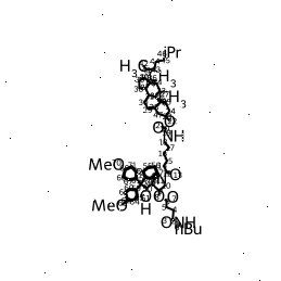 CCCCNC(=O)CCC(=O)OC1CN(C(=O)CCCCCNC(=O)OC2CC[C@@]3(C)C(=CCC4C3CC[C@@]3(C)C4CC[C@@H]3C(C)CCCC(C)C)C2)CC1C(O)C(c1ccccc1)(c1ccc(OC)cc1)c1ccc(OC)cc1